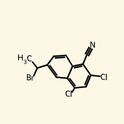 CC(Br)c1ccc2c(C#N)c(Cl)cc(Cl)c2c1